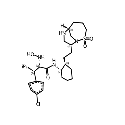 CC(C)[C@H](c1ccc(Cl)cc1)[C@H](NO)C(=O)N[C@H]1CCCC[C@@H]1CC[C@H]1CN[C@@H]2CCCS(=O)(=O)N1C2